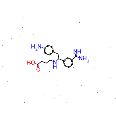 N=C(N)c1cccc(C(Cc2ccc(N)cc2)NCCCC(=O)O)c1